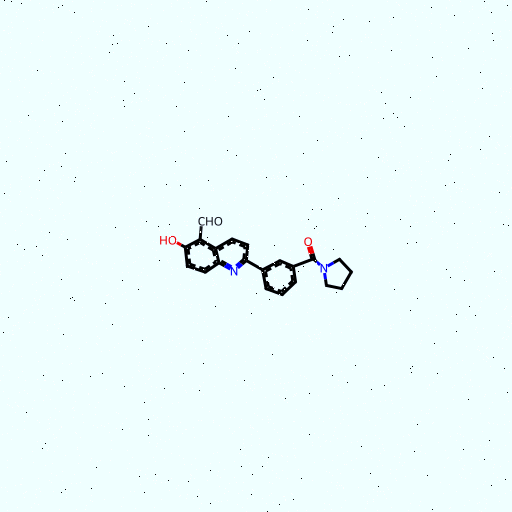 O=Cc1c(O)ccc2nc(-c3cccc(C(=O)N4CCCC4)c3)ccc12